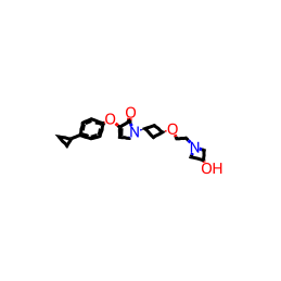 O=C1C(Oc2ccc(C3CC3)cc2)=CCN1[C@H]1C[C@@H](OCCN2CC(O)C2)C1